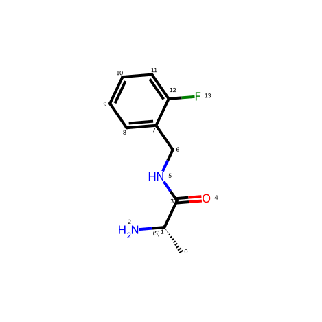 C[C@H](N)C(=O)NCc1ccccc1F